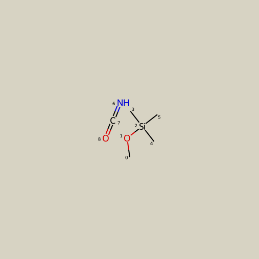 CO[Si](C)(C)C.N=C=O